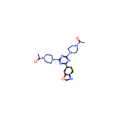 CC(=O)N1CCN(c2nc(-c3ccc4ncoc4c3)nc(N3CCN(C(C)=O)CC3)n2)CC1